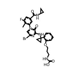 Cc1c(F)cc(C(=O)NC2CC2)cc1-n1cc(Br)nc(NC2(c3ccccc3OCCCNC(=O)O)CC2)c1=O